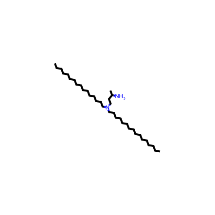 CCCCCCCCCCCCCCCCN(CCCCCCCCCCCCCCCC)CCC(C)N